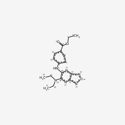 CCOC(=O)c1ccc(Nc2nc3nonc3nc2N(CC)CC)cc1